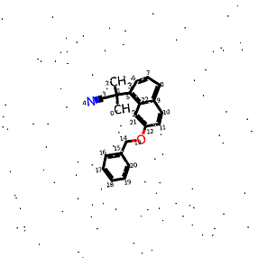 CC(C)(C#N)c1cccc2ccc(OCc3ccccc3)cc12